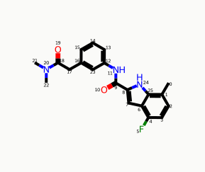 Cc1ccc(F)c2cc(C(=O)Nc3cccc(CC(=O)N(C)C)c3)[nH]c12